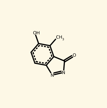 Cc1c(O)ccc2c1C(=O)N=N2